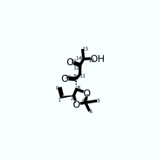 C=C[C@@H]1OC(C)(C)O[C@H]1C(=O)CC(=O)C(C)O